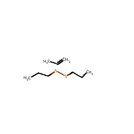 C=CC.CCCSSCCC